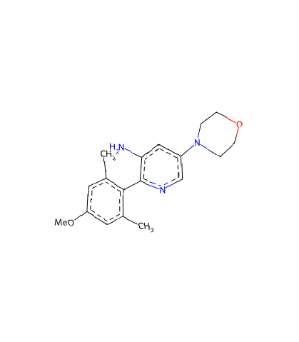 COc1cc(C)c(-c2ncc(N3CCOCC3)cc2N)c(C)c1